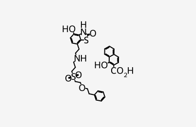 O=C(O)c1ccc2ccccc2c1O.O=c1[nH]c2c(O)ccc(CCNCCCS(=O)(=O)CCOCCc3ccccc3)c2s1